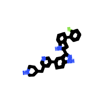 Fc1ccccc1-c1cccc2[nH]c(-c3n[nH]c4ccc(-c5cncc(CC6CCNCC6)c5)cc34)cc12